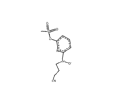 CS(=O)(=O)Oc1cccc([S+]([O-])CCCC#N)n1